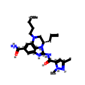 C=CC[C@H]1CN(CCCOC)c2cc(C(N)=O)cc3nc(NC(=O)c4cc(C)nn4CC)n1c23